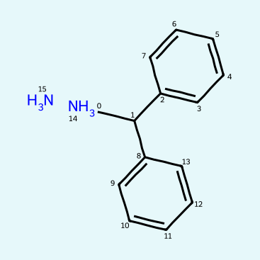 CC(c1ccccc1)c1ccccc1.N.N